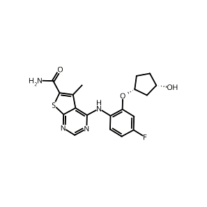 Cc1c(C(N)=O)sc2ncnc(Nc3ccc(F)cc3O[C@@H]3CC[C@H](O)C3)c12